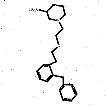 CCOC(=O)C1CCCN(CCOCCc2ccccc2Cc2ccccc2)C1